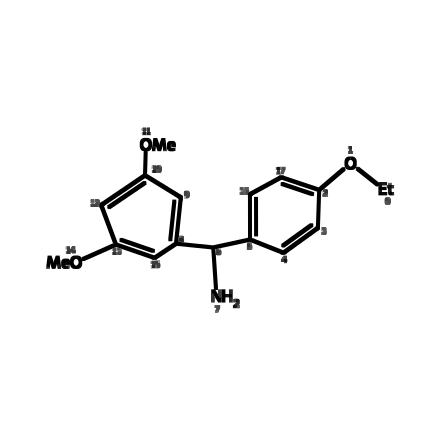 CCOc1ccc(C(N)c2cc(OC)cc(OC)c2)cc1